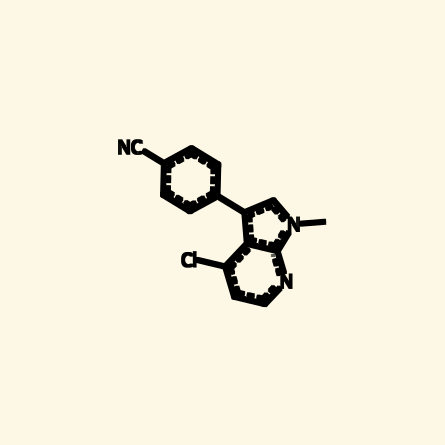 Cn1cc(-c2ccc(C#N)cc2)c2c(Cl)ccnc21